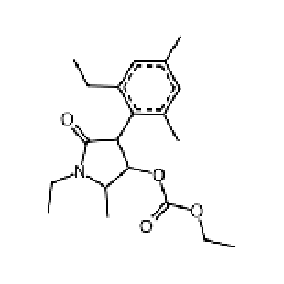 CCOC(=O)OC1C(c2c(C)cc(C)cc2CC)C(=O)N(CC)C1C